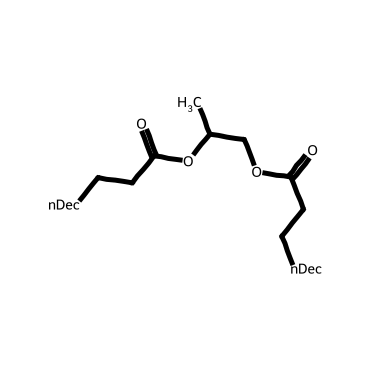 CCCCCCCCCCCCC(=O)OCC(C)OC(=O)CCCCCCCCCCCC